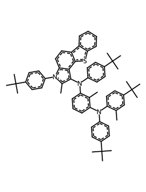 Cc1cc(C(C)(C)C)ccc1N(c1ccc(C(C)(C)C)cc1)c1cccc(N(c2ccc(C(C)(C)C)cc2)c2c(C)n(-c3ccc(C(C)(C)C)cc3)c3ccc4c5ccccc5sc4c23)c1C